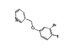 Fc1ccc(OCc2cccnc2)cc1Br